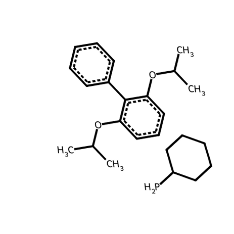 CC(C)Oc1cccc(OC(C)C)c1-c1ccccc1.PC1CCCCC1